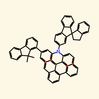 CC1(C)c2ccccc2-c2cccc(-c3cccc(N(c4ccc5c(c4)C4(CCc6ccccc64)c4ccccc4-5)c4ccccc4-c4cccc5cccc(-c6ccccc6)c45)c3)c21